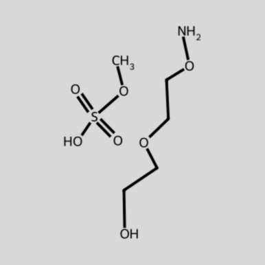 COS(=O)(=O)O.NOCCOCCO